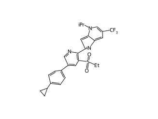 CCS(=O)(=O)c1cc(-c2ccc(C3CC3)cc2)cnc1-c1cc2n(C(C)C)cc(C(F)(F)F)cc-2n1